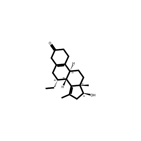 CC[C@@H]1CC2=C(CCC(=O)C2)[C@H]2CC[C@@]3(C)C(=C(C)C[C@@H]3O)[C@H]12